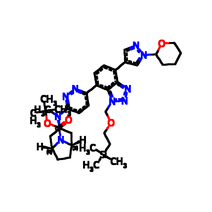 CN(c1ccc(-c2ccc(-c3cnn(C4CCCCO4)c3)c3nnn(COCC[Si](C)(C)C)c23)nn1)[C@@H]1C[C@H]2CC[C@@H](C1)N2C(=O)OC(C)(C)C